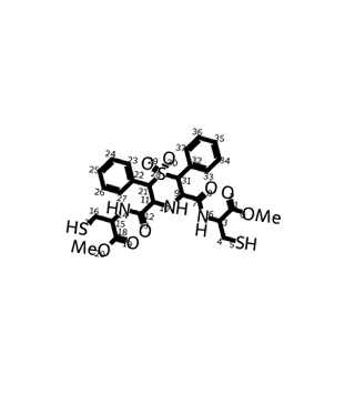 COC(=O)C(CS)NC(=O)C1NC(C(=O)NC(CS)C(=O)OC)C(c2ccccc2)S(=O)(=O)C1c1ccccc1